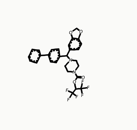 O=C(OC(C(F)(F)F)C(F)(F)F)N1CCN(C(c2ccc(-c3ccccc3)cc2)c2ccc3c(c2)OCO3)CC1